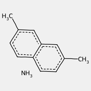 Cc1ccc2ccc(C)cc2c1.N